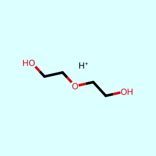 OCCOCCO.[H+]